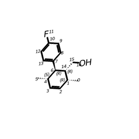 C[C@@H]1C=C[C@H](C)[C@@H](c2ccc(F)cc2)[C@@H]1CO